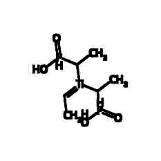 C[CH]=[Ti]([CH](C)[PH](=O)O)[CH](C)[PH](=O)O